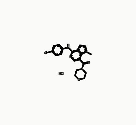 Cl.Cn1ccc2c(Nc3ccc(Cl)cc3)ncc(C(=O)N3CCOCC3)c21